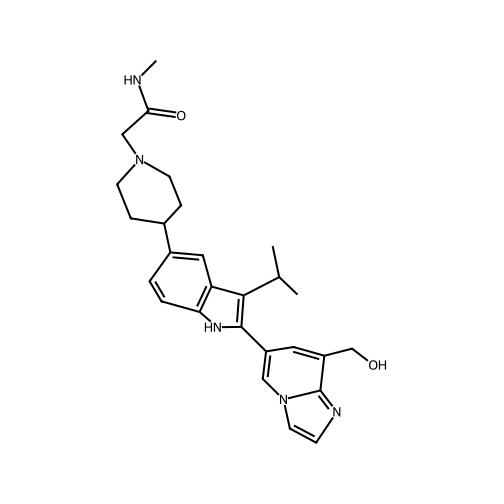 CNC(=O)CN1CCC(c2ccc3[nH]c(-c4cc(CO)c5nccn5c4)c(C(C)C)c3c2)CC1